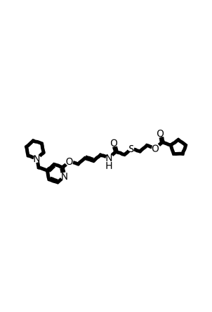 O=C(CSCCOC(=O)C1CCCC1)NCC=CCOc1cc(CN2CCCCC2)ccn1